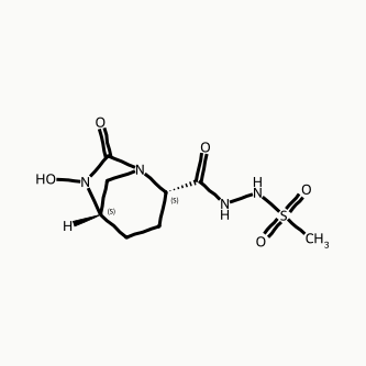 CS(=O)(=O)NNC(=O)[C@@H]1CC[C@H]2CN1C(=O)N2O